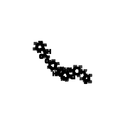 O=C(COc1ccc(-c2nc3c(NC4CCN(Cc5ccsc5)CC4)c(Cl)cnc3[nH]2)cc1)Nc1cnccn1